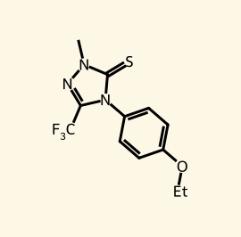 CCOc1ccc(-n2c(C(F)(F)F)nn(C)c2=S)cc1